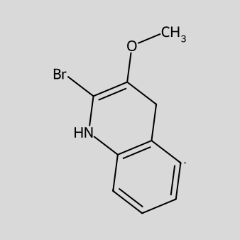 COC1=C(Br)Nc2ccc[c]c2C1